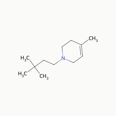 CC1=CCN(CCC(C)(C)C)CC1